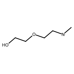 C[N]CCOCCO